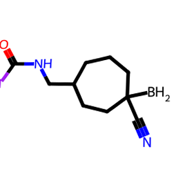 BC1(C#N)CCCC(CNC(=O)I)CC1